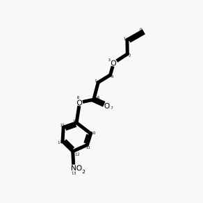 C=CCOCCC(=O)Oc1ccc([N+](=O)[O-])cc1